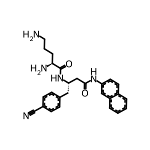 N#Cc1ccc(C[C@@H](CC(=O)Nc2ccc3ccccc3c2)NC(=O)[C@@H](N)CCCN)cc1